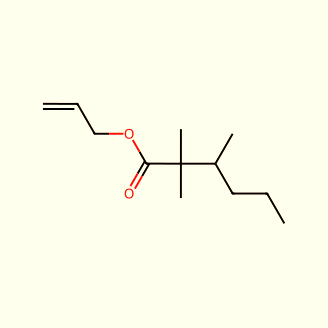 C=CCOC(=O)C(C)(C)C(C)CCC